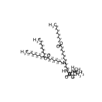 CCCCCCCCCOC(=O)CCCCCCCN(CCCCCCCC(=O)OC(CCCCCCCC)CCCCCCCC)CCCNc1c(NC(C)(C)C)c(=O)c1=O